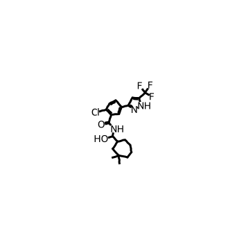 CC1(C)CCCCC(C(O)NC(=O)c2cc(-c3cc(C(F)(F)F)[nH]n3)ccc2Cl)C1